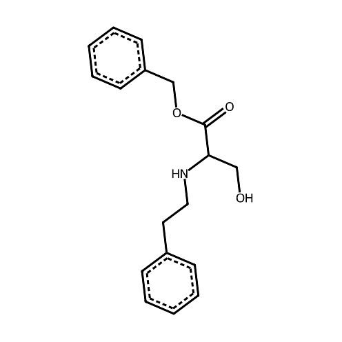 O=C(OCc1ccccc1)C(CO)NCCc1ccccc1